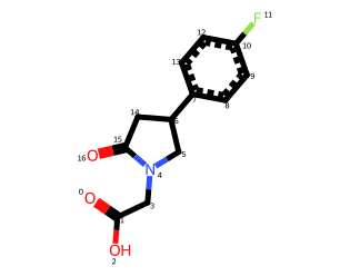 O=C(O)CN1CC(c2ccc(F)cc2)CC1=O